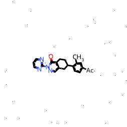 CC(=O)c1ccc(C2CCc3c(cnn(-c4ncccn4)c3=O)C2)c(C)c1